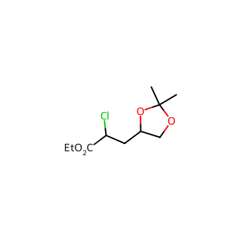 CCOC(=O)C(Cl)CC1COC(C)(C)O1